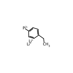 CCc1ccc([P-2])cc1.[Li+].[Li+]